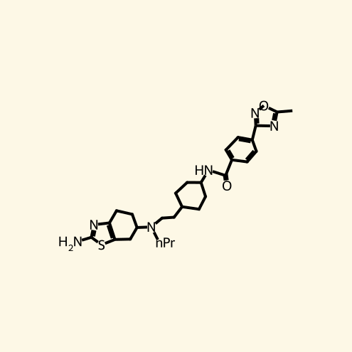 CCCN(CCC1CCC(NC(=O)c2ccc(-c3noc(C)n3)cc2)CC1)C1CCc2nc(N)sc2C1